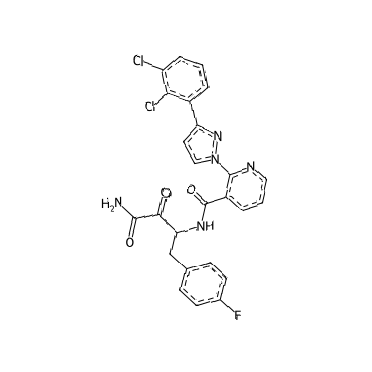 NC(=O)C(=O)C(Cc1ccc(F)cc1)NC(=O)c1cccnc1-n1ccc(-c2cccc(Cl)c2Cl)n1